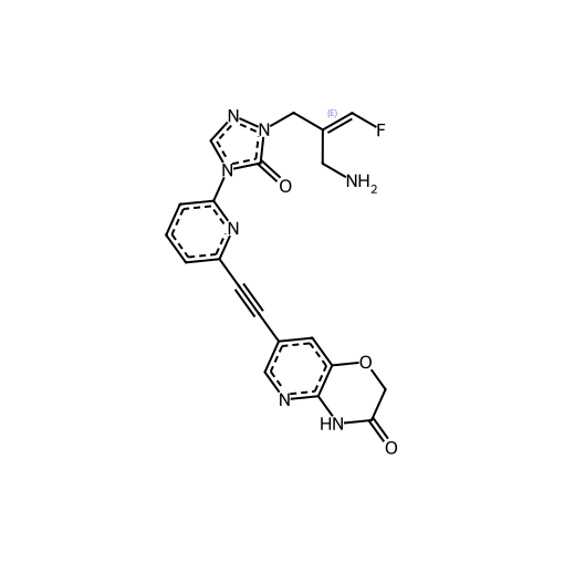 NC/C(=C\F)Cn1ncn(-c2cccc(C#Cc3cnc4c(c3)OCC(=O)N4)n2)c1=O